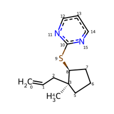 C=CC[C@]1(C)CCC[C@@H]1Sc1ncccn1